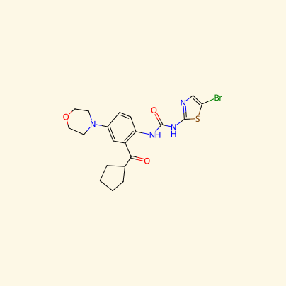 O=C(Nc1ncc(Br)s1)Nc1ccc(N2CCOCC2)cc1C(=O)C1CCCC1